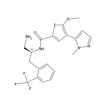 COc1sc(C(=O)N[C@H](CN)Cc2ccccc2C(F)(F)F)cc1-c1ccnn1C